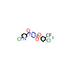 O=C(c1ccc(Cl)nc1)N1CCN(S(=O)(=O)c2ccc(Cl)c(C(F)(F)F)c2)CC1